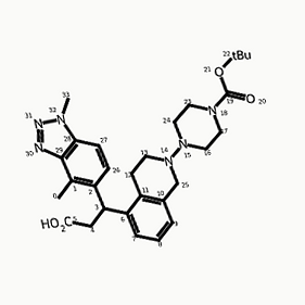 Cc1c(C(CC(=O)O)c2cccc3c2CCN(N2CCN(C(=O)OC(C)(C)C)CC2)C3)ccc2c1nnn2C